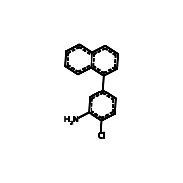 Nc1cc(-c2cccc3ccccc23)ccc1Cl